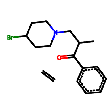 C=C.CC(CN1CCC(Br)CC1)C(=O)c1ccccc1